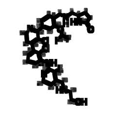 O=C1CC[C@H](CNCc2ccc(-c3nccc(-c4cccc(Nc5nccc(CNCCO)c5F)c4Cl)c3Cl)cc2OC(F)F)N1